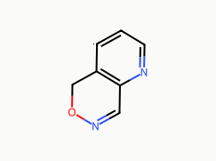 [c]1ccnc2c1CON=C2